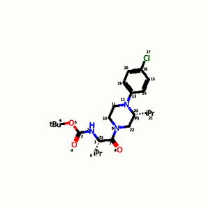 CC(C)[C@H](NC(=O)OC(C)(C)C)C(=O)N1CCN(c2ccc(Cl)cc2)[C@H](C(C)C)C1